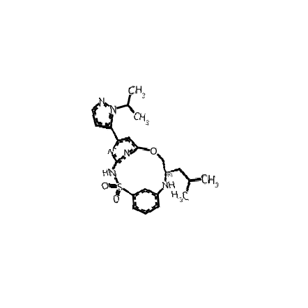 CC(C)C[C@@H]1COc2cc(-c3ccnn3C(C)C)nc(n2)NS(=O)(=O)c2cccc(c2)N1